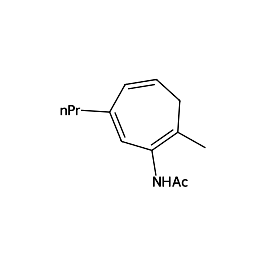 CCCC1=CC(NC(C)=O)=C(C)CC=C1